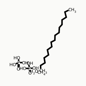 C.CCCCCCCCCCCCCCCCC.O.O=P(O)(O)O.O=P(O)(O)O